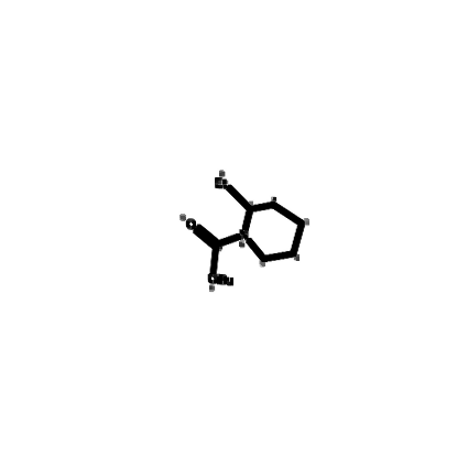 CCC1CCCCN1C(=O)OCC(C)C